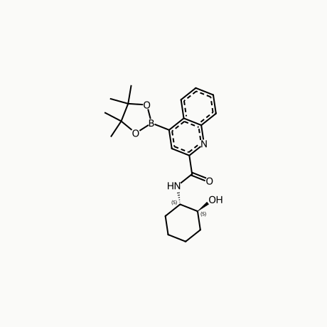 CC1(C)OB(c2cc(C(=O)N[C@H]3CCCC[C@@H]3O)nc3ccccc23)OC1(C)C